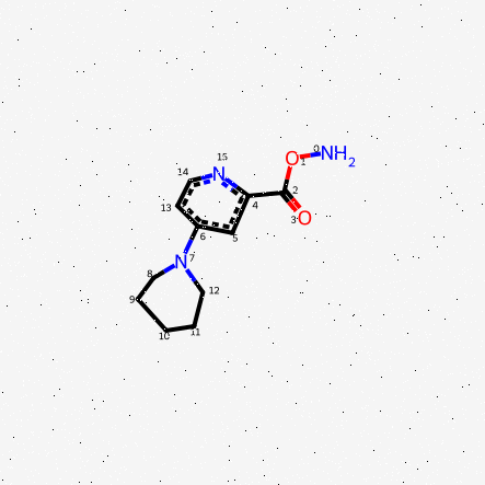 NOC(=O)c1cc(N2CCCCC2)ccn1